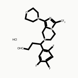 Cl.O=CCCC(c1cc(F)c(F)cc1F)N1CCn2c(C(F)(F)F)nc(N3CCOCC3)c2C1